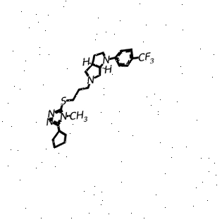 Cn1c(SCCCN2C[C@H]3CCN(c4ccc(C(F)(F)F)cc4)[C@H]3C2)nnc1C1CCCC1